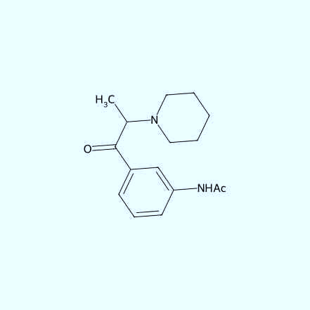 CC(=O)Nc1cccc(C(=O)C(C)N2CCCCC2)c1